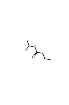 [CH2]C(C)OC(=O)C[CH]C